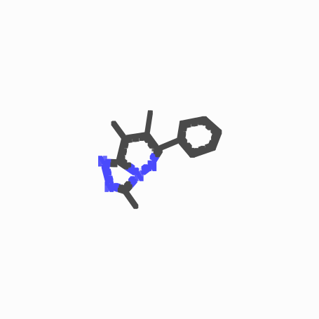 Cc1c(-c2ccccc2)nn2c(C)nnc2c1C